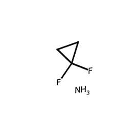 FC1(F)CC1.N